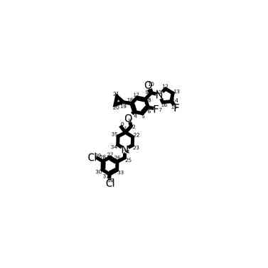 CC1(COc2cc(F)c(C(=O)N3CCC(F)C3)cc2C2CC2)CCN(Cc2cc(Cl)cc(Cl)c2)CC1